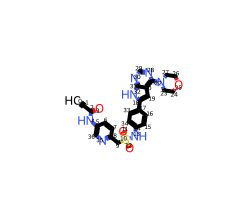 C#CC(=O)Nc1ccc(CS(=O)(=O)Nc2ccc(-c3cc4c(N5CCOCC5)ncnc4[nH]3)cc2)nc1